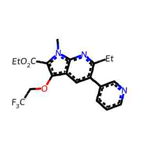 CCOC(=O)c1c(OCC(F)(F)F)c2cc(-c3cccnc3)c(CC)nc2n1C